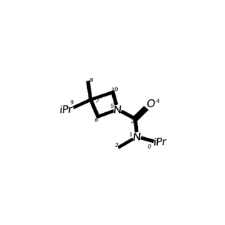 CC(C)N(C)C(=O)N1CC(C)(C(C)C)C1